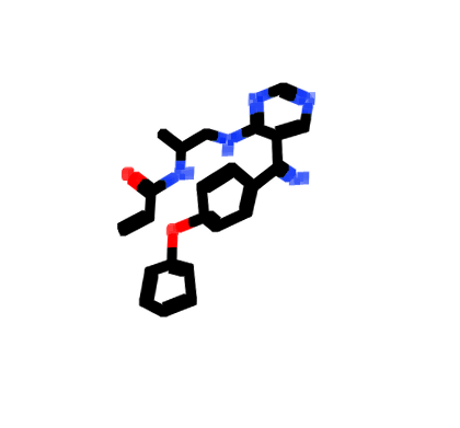 C=CC(=O)NC(C)CNc1ncncc1C(=N)c1ccc(Oc2ccccc2)cc1